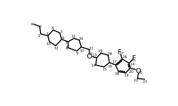 CCCC1CCC(C2CCC(COC3CCC(c4ccc(OCC)c(F)c4F)CC3)CC2)CC1